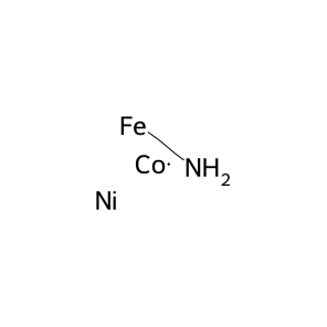 [Co].[NH2][Fe].[Ni]